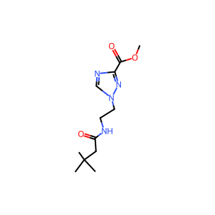 COC(=O)c1ncn(CCNC(=O)CC(C)(C)C)n1